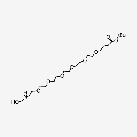 CC(C)(C)OC(=O)CCCOCCOCCOCCOCCOCCOCCNCO